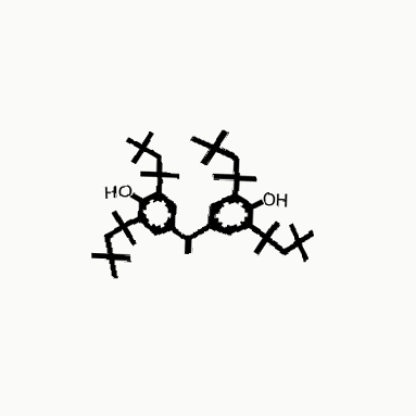 CC(c1cc(C(C)(C)CC(C)(C)C)c(O)c(C(C)(C)CC(C)(C)C)c1)c1cc(C(C)(C)CC(C)(C)C)c(O)c(C(C)(C)CC(C)(C)C)c1